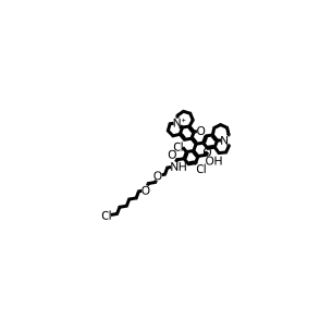 O=C(NCCOCCOCCCCCCCl)c1cc(Cl)c(C(=O)O)c(C2=c3cc4c5c(c3Oc3c2cc2c6c3CCCCN6CCC2)CCCC[N+]=5CCC4)c1Cl